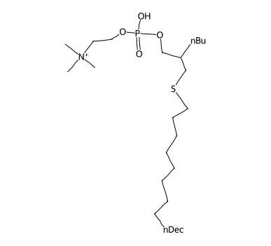 CCCCCCCCCCCCCCCCCCSCC(CCCC)COP(=O)(O)OCC[N+](C)(C)C